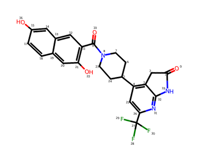 O=C1Cc2c(C3CCN(C(=O)c4cc5cc(O)ccc5cc4O)CC3)cc(C(F)(F)F)nc2N1